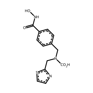 O=C(NO)c1ccc(CN(Cc2nccs2)C(=O)O)cc1